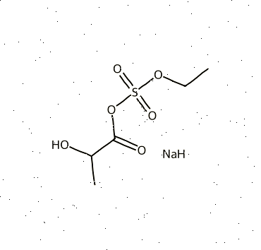 CCOS(=O)(=O)OC(=O)C(C)O.[NaH]